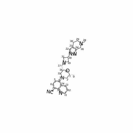 C[C@@H]1CN(c2ccc(C#N)c3ncccc23)C[C@H](CN2CC(n3cc4c(n3)CN(C)CC4)C2)O1